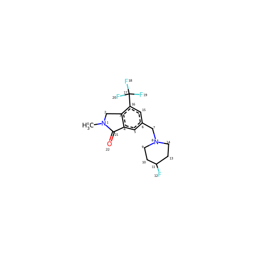 CN1Cc2c(cc(CN3CCC(F)CC3)cc2C(F)(F)F)C1=O